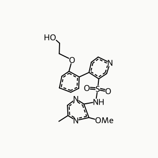 COc1nc(C)cnc1NS(=O)(=O)c1cnccc1-c1ccccc1OCCO